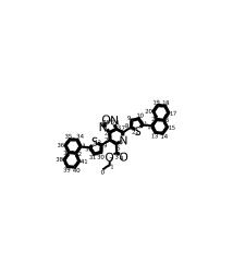 CCOC(=O)c1nc(-c2ccc(-c3cccc4ccccc34)s2)c2nonc2c1-c1ccc(-c2cccc3ccccc23)s1